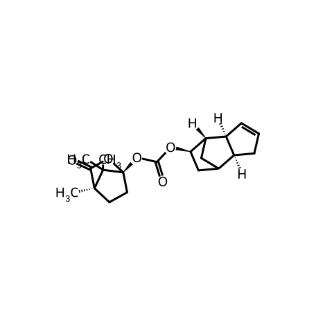 CC1(C)[C@@]2(OC(=O)O[C@@H]3CC4C[C@H]3[C@H]3C=CC[C@@H]43)CC[C@@]1(C)C(=O)O2